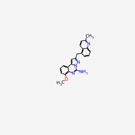 COc1cccc2c1nc(N)n1nc(Cc3cccc4nc(C)ccc34)cc21